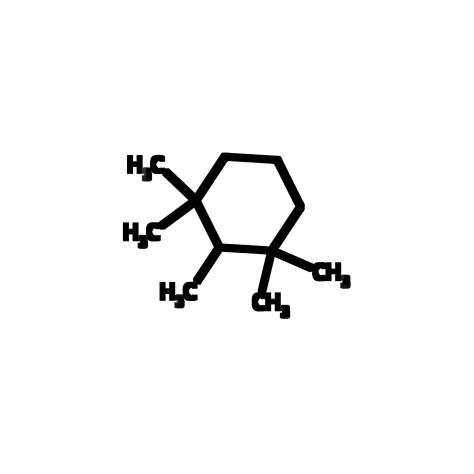 CC1C(C)(C)CCCC1(C)C